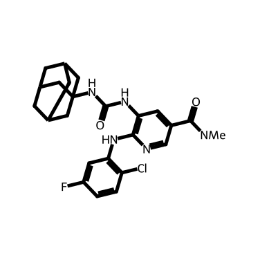 CNC(=O)c1cnc(Nc2cc(F)ccc2Cl)c(NC(=O)NC23CC4CC(CC(C4)C2)C3)c1